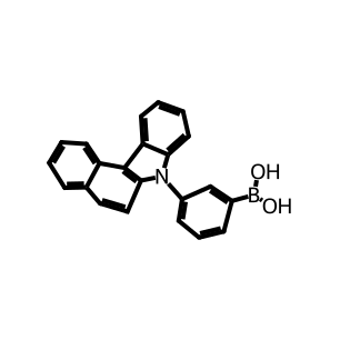 OB(O)c1cccc(-n2c3ccccc3c3c4ccccc4ccc32)c1